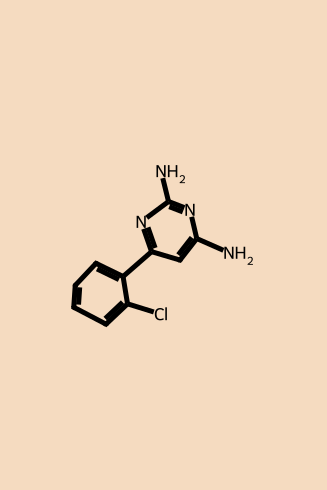 Nc1cc(-c2ccccc2Cl)nc(N)n1